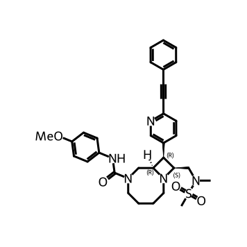 COc1ccc(NC(=O)N2CCCCN3[C@H](CN(C)S(C)(=O)=O)[C@H](c4ccc(C#Cc5ccccc5)nc4)[C@@H]3C2)cc1